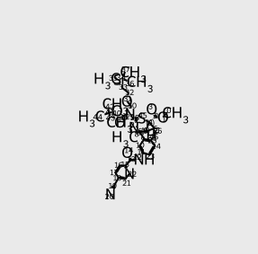 COC(=O)[C@]12C[C@H]1[C@@](C)(c1cc(NC(=O)c3ccc(C#N)cn3)ccc1F)N=C(N(COCC[Si](C)(C)C)C(=O)OC(C)(C)C)S2